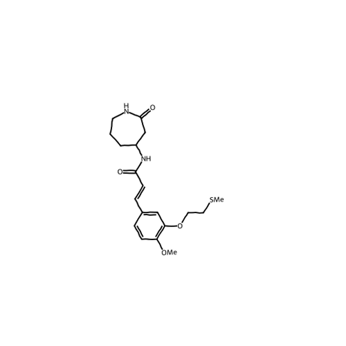 COc1ccc(C=CC(=O)NC2CCCNC(=O)C2)cc1OCCSC